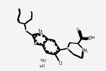 CCC(CC)Sc1nc2cc(Cl)c(N3CCNC(C(=O)O)C3)cc2[nH]1.Cl.Cl